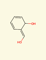 OC=C1C=CC=CC1O